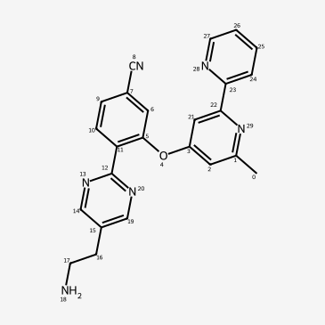 Cc1cc(Oc2cc(C#N)ccc2-c2ncc(CCN)cn2)cc(-c2ccccn2)n1